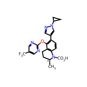 C[C@H]1CCc2c(ccc(-c3cnn(C4CC4)c3)c2Oc2ncc(C(F)(F)F)cn2)N1C(=O)O